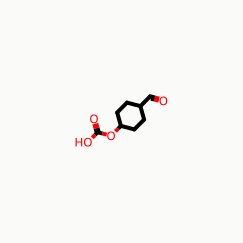 O=CC1CCC(OC(=O)O)CC1